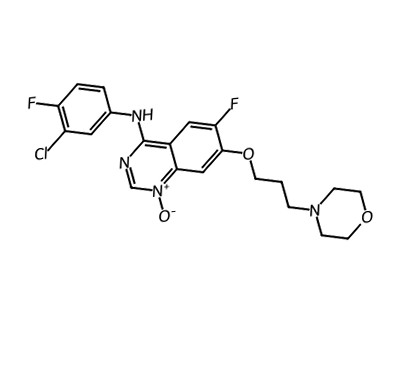 [O-][n+]1cnc(Nc2ccc(F)c(Cl)c2)c2cc(F)c(OCCCN3CCOCC3)cc21